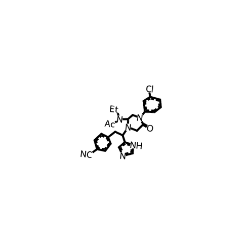 CCN(C(C)=O)C1CN(c2cccc(Cl)c2)C(=O)CN1C(Cc1ccc(C#N)cc1)c1cnc[nH]1